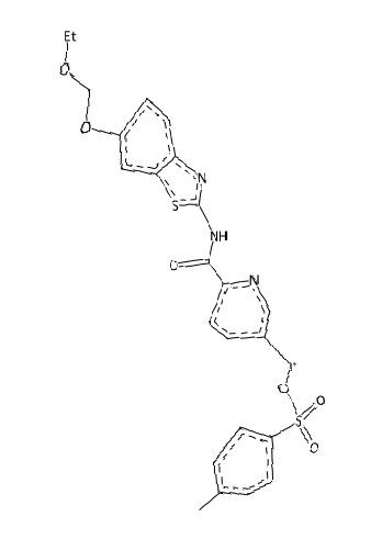 CCOCOc1ccc2nc(NC(=O)c3ccc([I+]OS(=O)(=O)c4ccc(C)cc4)cn3)sc2c1